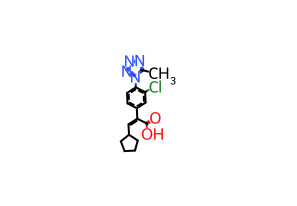 Cc1nnnn1-c1ccc(C(=CC2CCCC2)C(=O)O)cc1Cl